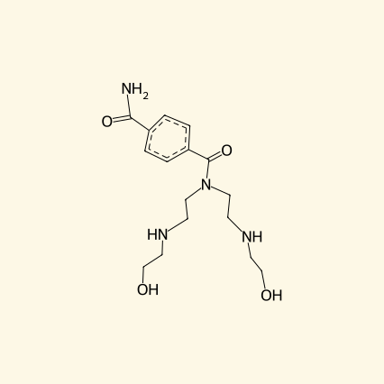 NC(=O)c1ccc(C(=O)N(CCNCCO)CCNCCO)cc1